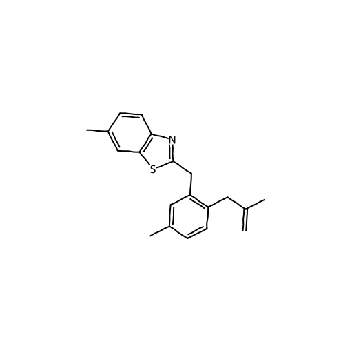 C=C(C)Cc1ccc(C)cc1Cc1nc2ccc(C)cc2s1